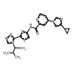 CC(C)C(C)n1cnnc1-c1nc(NC(=O)c2cc(-n3cnc(C4CC4)c3)ccn2)cs1